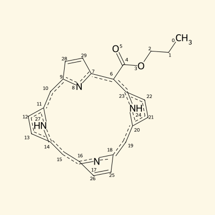 CCCOC(=O)c1c2nc(cc3ccc(cc4nc(cc5ccc1[nH]5)C=C4)[nH]3)C=C2